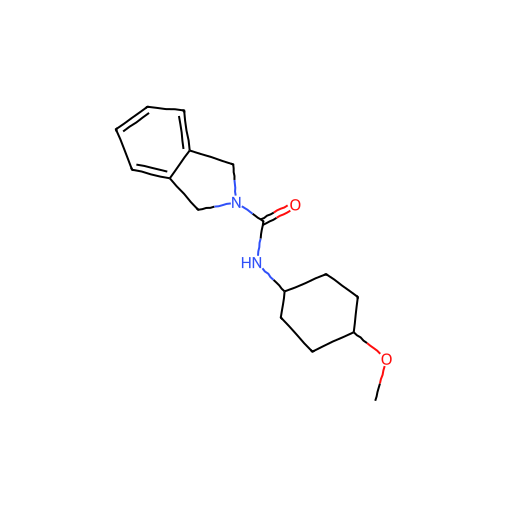 COC1CCC(NC(=O)N2Cc3ccccc3C2)CC1